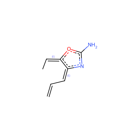 C=C/C=c1/nc(N)o/c1=C/C